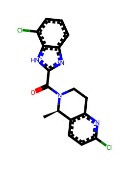 C[C@@H]1c2ccc(Cl)nc2CCN1C(=O)c1nc2cccc(Cl)c2[nH]1